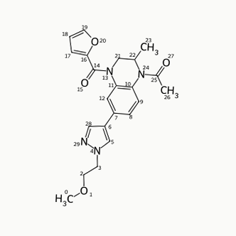 COCCn1cc(-c2ccc3c(c2)N(C(=O)c2ccco2)CC(C)N3C(C)=O)cn1